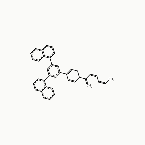 C=C(/C=C\C=C/C)C1C=CC(c2nc(-c3cccc4ccccc34)cc(-c3cccc4ccccc34)n2)=CC1